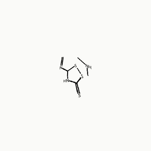 C=NC1NC(=S)SS1.CNC